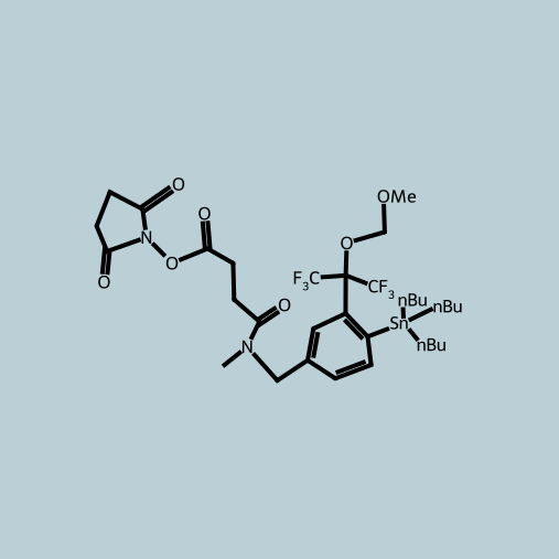 CCC[CH2][Sn]([CH2]CCC)([CH2]CCC)[c]1ccc(CN(C)C(=O)CCC(=O)ON2C(=O)CCC2=O)cc1C(OCOC)(C(F)(F)F)C(F)(F)F